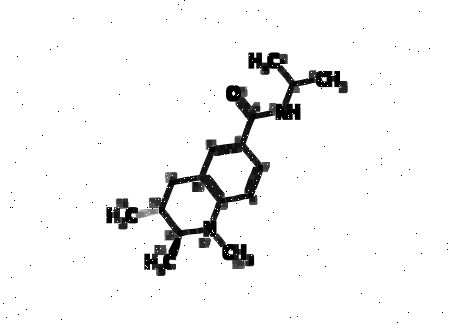 CC(C)NC(=O)c1ccc2c(c1)C[C@@H](C)[C@H](C)N2C